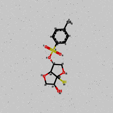 Cc1ccc(S(=O)(=O)O[C@@H]2COC3(S)C2OC[C@@H]3O)cc1